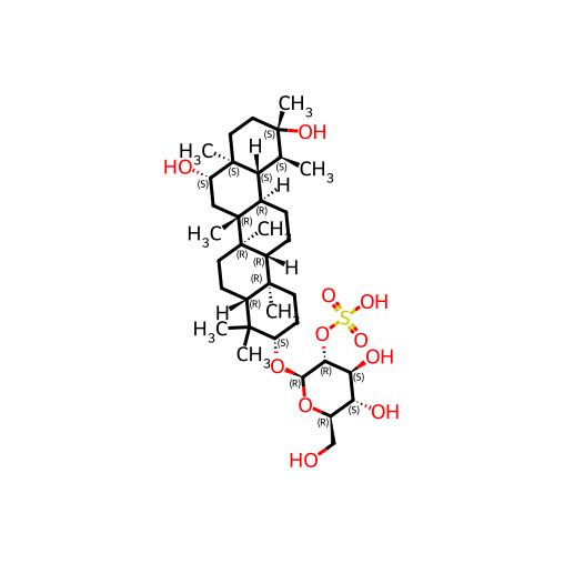 C[C@H]1[C@@H]2[C@H]3CC[C@@H]4[C@@]5(C)CC[C@H](O[C@@H]6O[C@H](CO)[C@@H](O)[C@H](O)[C@H]6OS(=O)(=O)O)C(C)(C)[C@@H]5CC[C@@]4(C)[C@]3(C)C[C@H](O)[C@@]2(C)CC[C@]1(C)O